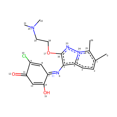 Cc1ccc2c(/N=C3\C=C(Cl)C(=O)C=C3O)c(OCCN(C)C)nn2c1C